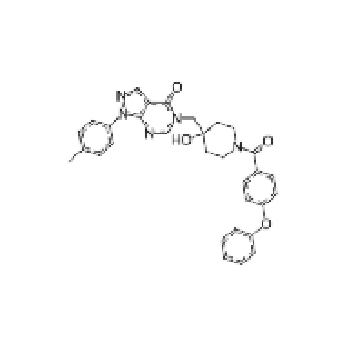 Cc1ccc(-n2ncc3c(=O)n(CC4(O)CCN(C(=O)c5ccc(Oc6ccccc6)cc5)CC4)cnc32)cc1